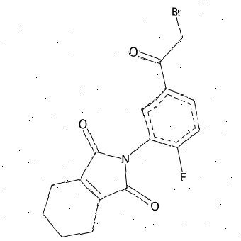 O=C(CBr)c1ccc(F)c(N2C(=O)C3=C(CCCC3)C2=O)c1